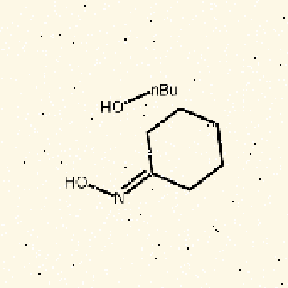 CCCCO.ON=C1CCCCC1